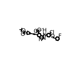 CC(C)(C)OC(=O)N1CC2C(C#Cc3cc4ncnc(Nc5ccc(OCc6cccc(F)c6)c(Cl)c5)c4cc3[N+](=O)[O-])C2C1